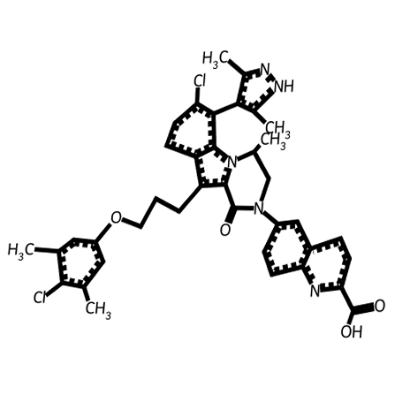 Cc1cc(OCCCc2c3n(c4c(-c5c(C)n[nH]c5C)c(Cl)ccc24)C(C)CN(c2ccc4nc(C(=O)O)ccc4c2)C3=O)cc(C)c1Cl